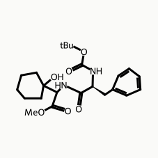 COC(=O)C(NC(=O)[C@H](Cc1ccccc1)NC(=O)OC(C)(C)C)C1(O)CCCCC1